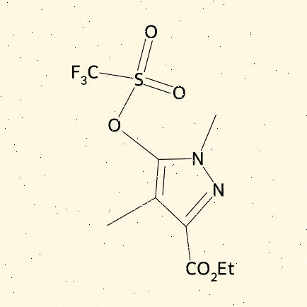 CCOC(=O)c1nn(C)c(OS(=O)(=O)C(F)(F)F)c1C